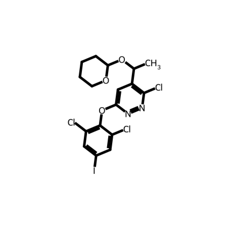 CC(OC1CCCCO1)c1cc(Oc2c(Cl)cc(I)cc2Cl)nnc1Cl